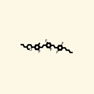 CCCCCc1cc(F)c(CCc2cc(F)c(CCc3c(C)cc(C4CCC(CCC)CO4)cc3F)cc2F)cc1F